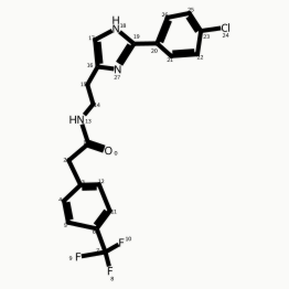 O=C(Cc1ccc(C(F)(F)F)cc1)NCCc1c[nH]c(-c2ccc(Cl)cc2)n1